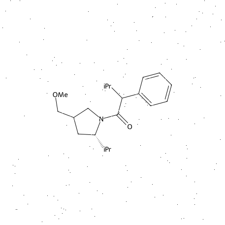 COCC1C[C@@H](C(C)C)N(C(=O)C(c2ccccc2)C(C)C)C1